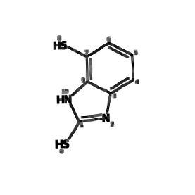 Sc1nc2cccc(S)c2[nH]1